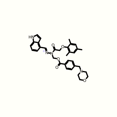 Cc1cc(C)c(OCC(=O)N(COC(=O)c2ccc(CN3CCOCC3)cc2)/N=C/c2cccc3[nH]ccc23)c(C)c1